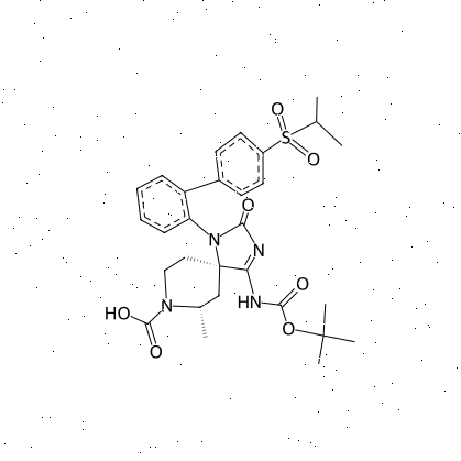 CC(C)S(=O)(=O)c1ccc(-c2ccccc2N2C(=O)N=C(NC(=O)OC(C)(C)C)[C@]23CCN(C(=O)O)[C@@H](C)C3)cc1